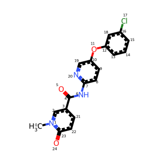 Cn1cc(C(=O)Nc2ccc(Oc3cccc(Cl)c3)cn2)ccc1=O